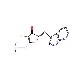 CC(C)N(C)NC1=C(C(=O)O)C(=O)/C(=C/c2c[nH]c3ncccc23)O1